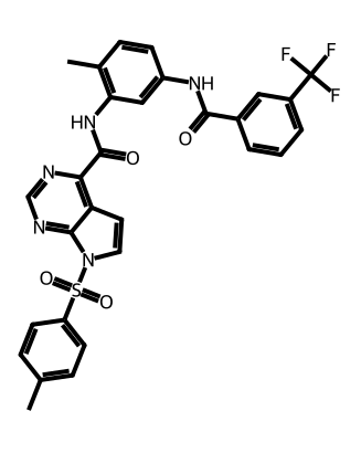 Cc1ccc(S(=O)(=O)n2ccc3c(C(=O)Nc4cc(NC(=O)c5cccc(C(F)(F)F)c5)ccc4C)ncnc32)cc1